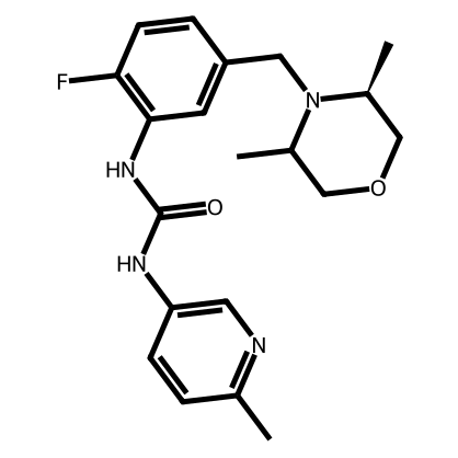 Cc1ccc(NC(=O)Nc2cc(CN3C(C)COC[C@@H]3C)ccc2F)cn1